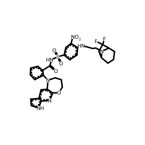 O=C(NS(=O)(=O)c1ccc(NCCN2C3CCCC2C(F)(F)C3)c([N+](=O)[O-])c1)c1ccccc1N1CCCOc2nc3[nH]ccc3cc21